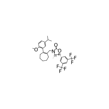 COc1ccc(C(C)C)cc1C1=C(CN2C(=O)O[C@H](c3cc(C(F)(F)F)cc(C(F)(F)F)c3)[C@@H]2C)CCCCC1